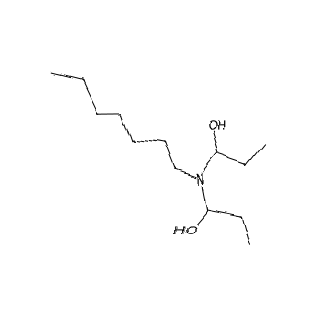 CCCCCCCN(C(O)CC)C(O)CC